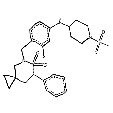 CS(=O)(=O)N1CCC(Nc2ccc(CN3CC4(CC4)CC(c4ccccc4)S3(=O)=O)c(F)c2)CC1